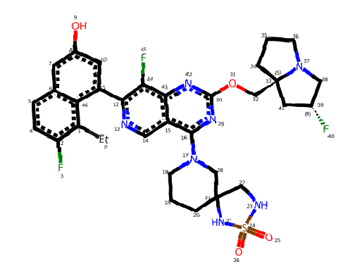 CCc1c(F)ccc2cc(O)cc(-c3ncc4c(N5CCCC6(CNS(=O)(=O)N6)C5)nc(OC[C@@]56CCCN5C[C@H](F)C6)nc4c3F)c12